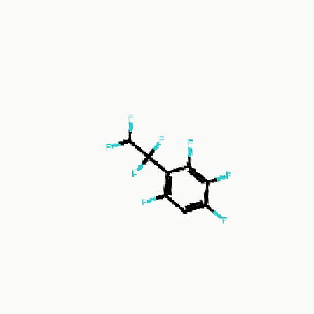 Fc1[c]c(F)c(C(F)(F)C(F)F)c(F)c1F